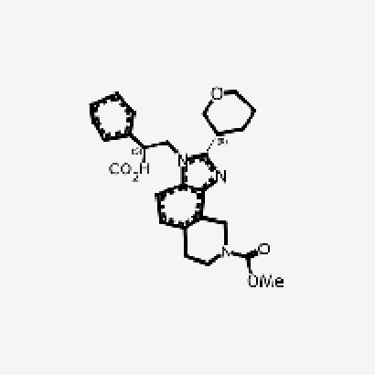 COC(=O)N1CCc2ccc3c(nc([C@H]4CCCOC4)n3C[C@@H](C(=O)O)c3ccccc3)c2C1